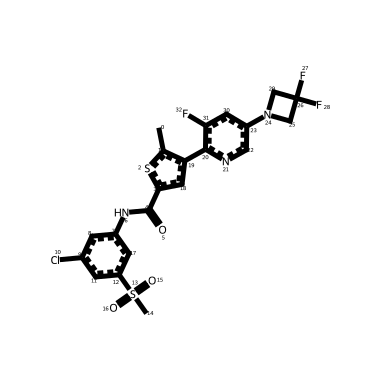 Cc1sc(C(=O)Nc2cc(Cl)cc(S(C)(=O)=O)c2)cc1-c1ncc(N2CC(F)(F)C2)cc1F